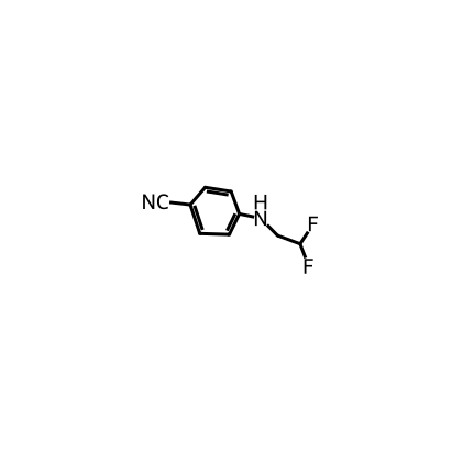 N#Cc1ccc(NCC(F)F)cc1